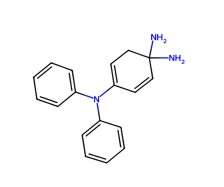 NC1(N)C=CC(N(c2ccccc2)c2ccccc2)=CC1